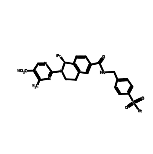 CCS(=O)(=O)c1ccc(CNC(=O)c2ccc3c(c2)CCN(c2ncc(C(=O)O)c(C(F)(F)F)n2)[C@H]3C(C)C)cc1